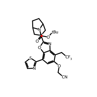 CC(C)(C)OC(=O)N1C2CCC1CN(c1nc3c(CC(F)(F)F)c(OCC#N)cc(-c4nccs4)c3o1)C2